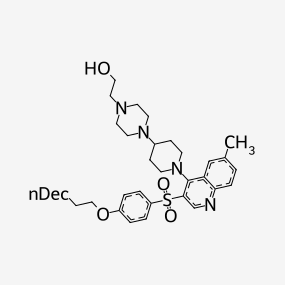 CCCCCCCCCCCCOc1ccc(S(=O)(=O)c2cnc3ccc(C)cc3c2N2CCC(N3CCN(CCO)CC3)CC2)cc1